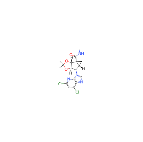 CNC(=O)[C@@]12C[C@@H]1[C@@H](n1cnc3c(Cl)cc(Cl)nc31)[C@@H]1OC(C)(C)O[C@@H]12